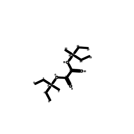 CC[Si](C)(CC)OC(=O)C(=O)O[Si](C)(CC)CC